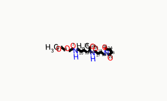 COCCOCC(=O)NCCCC[C@H](NC(=O)CCCN1C(=O)C=CC1=O)C(C)=O